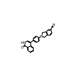 N#Cc1ccc2c(c1)CN(c1ccc(-c3c[nH]c(=O)c4ccccc34)cc1)C2